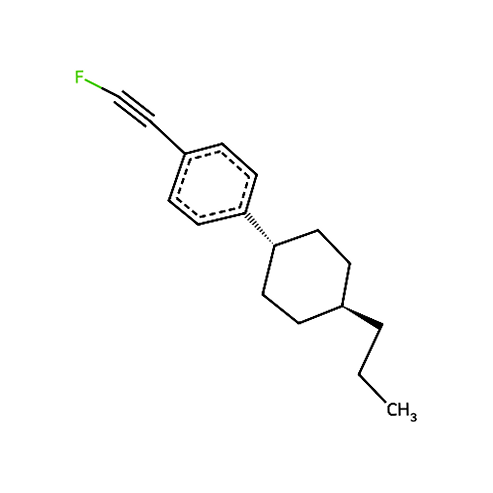 CCC[C@H]1CC[C@H](c2ccc(C#CF)cc2)CC1